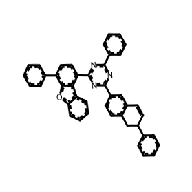 C1=CC(c2ccccc2)Cc2ccc(-c3nc(-c4ccccc4)nc(-c4ccc(-c5ccccc5)c5oc6ccccc6c45)n3)cc21